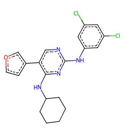 Clc1cc(Cl)cc(Nc2ncc(-c3ccoc3)c(NC3CCCCC3)n2)c1